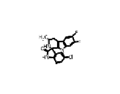 C[C@@H]1Cc2c([nH]c3cc(F)c(F)cc23)[C@]2(N1)C(=O)Nc1ccc(Cl)cc12